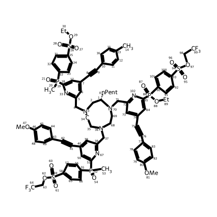 CCCCC[C@H]1CN(Cc2cc(C#Cc3ccc(C)cc3)cc(P(C)(=O)c3ccc(S(=O)(=O)OCC)cc3)n2)CCN(Cc2cc(C#Cc3ccc(OC)cc3)cc(P(C)(=O)c3ccc(S(=O)(=O)OCC(F)(F)F)cc3)n2)CCN1Cc1cc(C#Cc2ccc(OC)cc2)cc(P(=O)(OCC)c2ccc(S(=O)(=O)OCC(F)(F)F)cc2)n1